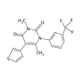 Cc1c(-c2ccsc2)c(=O)n(C)c(=O)n1-c1cccc(C(F)(F)F)c1